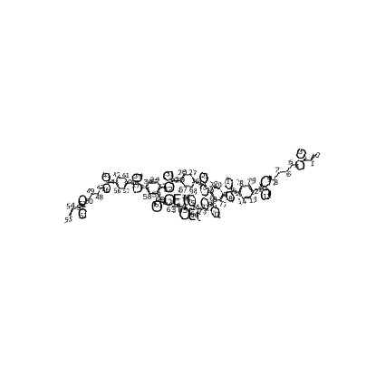 C=CC(=O)OCCCCOC(=O)c1ccc(C(=O)Oc2ccc(OC(=O)C3CCC(C(=O)Oc4ccc(OC(=O)c5ccc(C(=O)OCCCCOC(=O)C=C)cc5)cc4C(=O)OCCOCC)CC3)c(C(=O)OCCOCC)c2)cc1